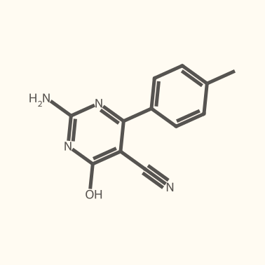 Cc1ccc(-c2nc(N)nc(O)c2C#N)cc1